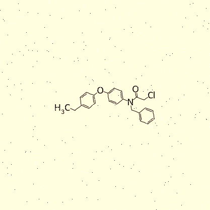 CCc1ccc(Oc2ccc(N(Cc3ccccc3)C(=O)CCl)cc2)cc1